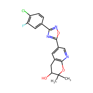 CC1(C)Oc2ncc(-c3nc(-c4ccc(Cl)c(F)c4)no3)cc2CC1O